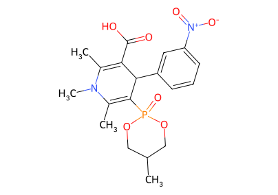 CC1=C(C(=O)O)C(c2cccc([N+](=O)[O-])c2)C(P2(=O)OCC(C)CO2)=C(C)N1C